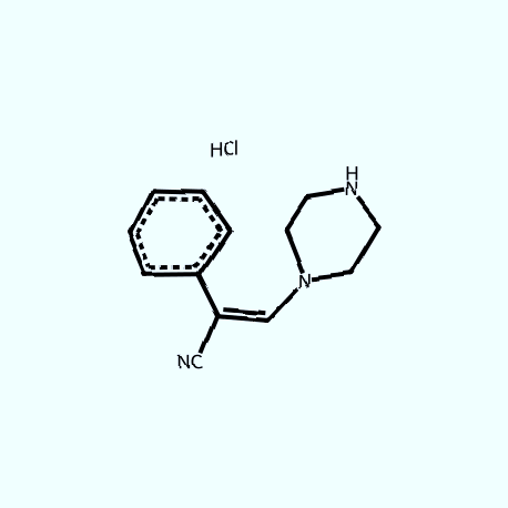 Cl.N#CC(=CN1CCNCC1)c1ccccc1